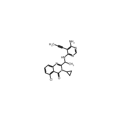 CC#Cc1c(N)ncnc1NC(C)c1nc2cccc(Cl)c2c(=O)n1C1CC1